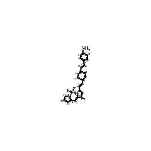 CC1=CC(/C=C/c2ccc(/C=C/c3ccc(N)cc3)cc2)=[N+]2C1=Cc1cccn1[B-]2(F)F